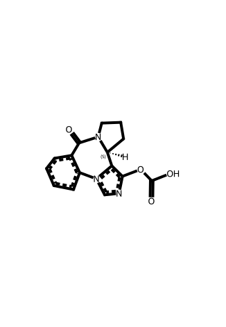 O=C(O)Oc1ncn2c1[C@@H]1CCCN1C(=O)c1ccccc1-2